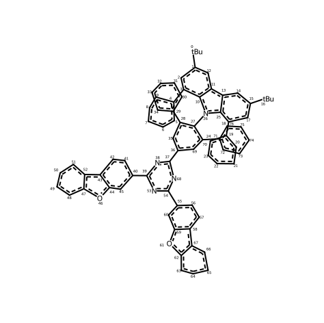 CC(C)(C)c1cc(-c2ccccc2)c2c(c1)c1cc(C(C)(C)C)cc(-c3ccccc3)c1n2-c1c(-c2ccccc2)cc(-c2nc(-c3ccc4c(c3)oc3ccccc34)nc(-c3ccc4c(c3)oc3ccccc34)n2)cc1-c1ccccc1